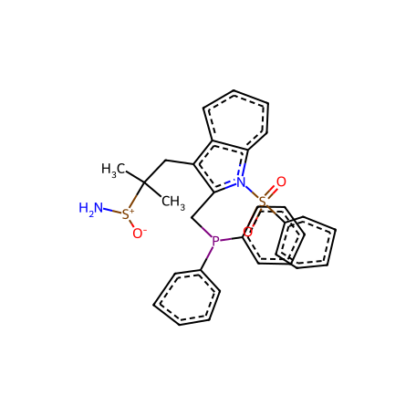 CC(C)(Cc1c(CP(c2ccccc2)c2ccccc2)n(S(=O)(=O)c2ccccc2)c2ccccc12)[S+](N)[O-]